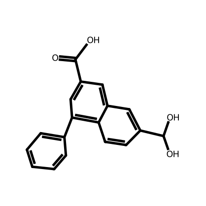 O=C(O)c1cc(-c2ccccc2)c2ccc(C(O)O)cc2c1